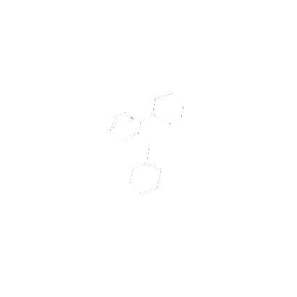 c1ccc(N2CCOCC2)c(CN2CCNCC2)c1